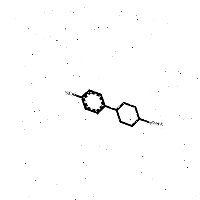 CCCCCC1CCC(c2ccc(C#N)cc2)CC1